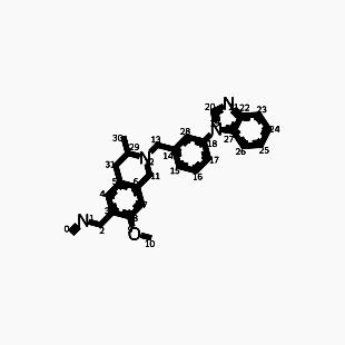 C=NCc1cc2c(cc1OC)CN(Cc1cccc(-n3cnc4ccccc43)c1)C(C)C2